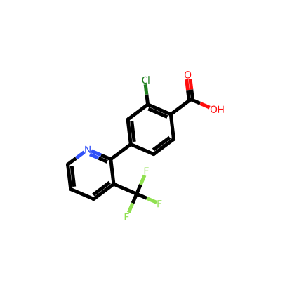 O=C(O)c1ccc(-c2ncccc2C(F)(F)F)cc1Cl